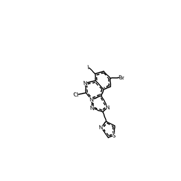 Clc1nc2c(I)cc(Br)cc2c2nc(-c3cscn3)nn12